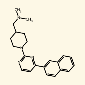 CN(C)CC1CCN(c2nccc(-c3ccc4ccccc4c3)n2)CC1